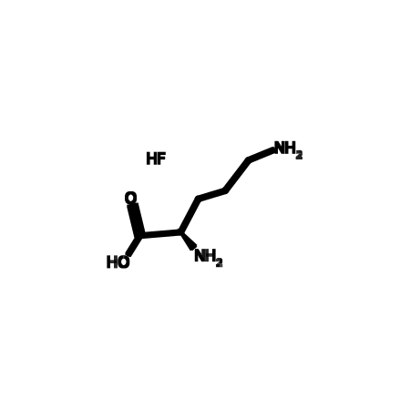 F.NCCC[C@@H](N)C(=O)O